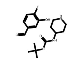 CC(C)(C)OC(=O)NC1CCNCC1.O=Cc1ccc(F)c(O)c1